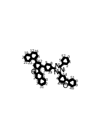 c1ccc(-c2nc(-c3ccc(-c4cc(-c5cccc6ccccc56)cc5oc6cc7ccccc7cc6c45)cc3)nc(-c3ccc4oc5ccccc5c4c3)n2)cc1